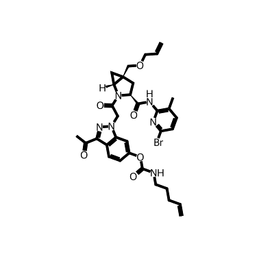 C=CCCCNC(=O)Oc1ccc2c(C(C)=O)nn(CC(=O)N3[C@H](C(=O)Nc4nc(Br)ccc4C)C[C@@]4(COCC=C)C[C@@H]34)c2c1